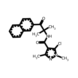 Cc1nn(C)c(Cl)c1C(=O)NC(C)(C)C(=O)c1ccc2ccccc2c1